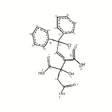 O=C(O)CC(O)(C(=O)O)C(=CC(Cl)(c1ccccc1)c1ccccc1)C(=O)O